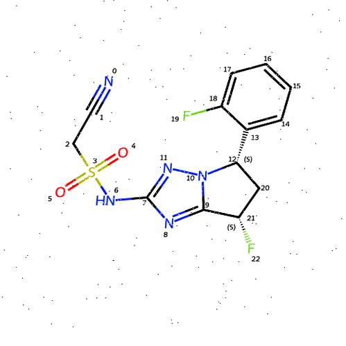 N#CCS(=O)(=O)Nc1nc2n(n1)[C@H](c1ccccc1F)C[C@@H]2F